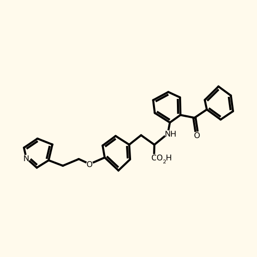 O=C(c1ccccc1)c1ccccc1NC(Cc1ccc(OCCc2cccnc2)cc1)C(=O)O